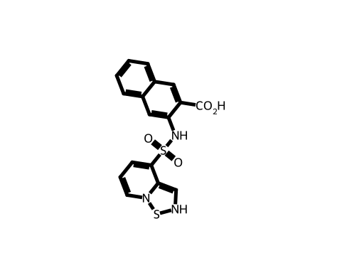 O=C(O)c1cc2ccccc2cc1NS(=O)(=O)C1=CC=CN2SNC=C12